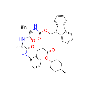 CC(C)[C@H](NC(=O)OCC1c2ccccc2-c2ccccc21)C(=O)N[C@@H](C)C(=O)Nc1ccccc1CCC(=O)O[C@H]1CC[C@H](C)CC1